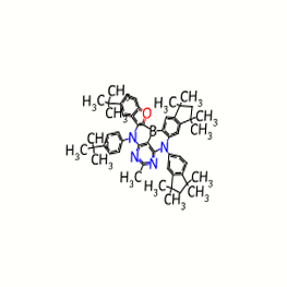 Cc1nc2c3c(n1)N(c1ccc(C(C)(C)C)cc1)c1c(oc4ccc(C(C)(C)C)cc14)B3c1cc3c(cc1N2c1ccc2c(c1)C(C)(C)CC2(C)C)C(C)(C)CC3(C)C